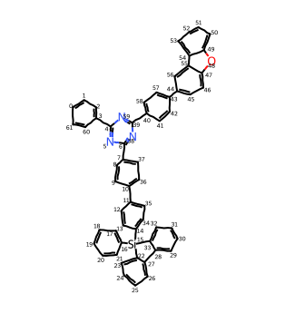 c1ccc(-c2nc(-c3ccc(-c4ccc([Si]5(c6ccccc6)c6ccccc6-c6ccccc65)cc4)cc3)nc(-c3ccc(-c4ccc5oc6ccccc6c5c4)cc3)n2)cc1